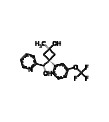 C[C@]1(O)C[C@@](c2cccc(OC(F)(F)F)c2)([C@H](O)c2ccccn2)C1